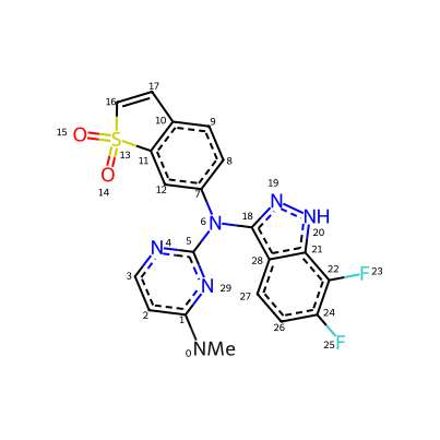 CNc1ccnc(N(c2ccc3c(c2)S(=O)(=O)C=C3)c2n[nH]c3c(F)c(F)ccc23)n1